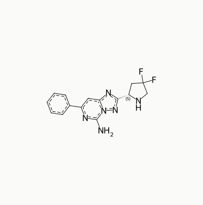 Nc1nc(-c2ccccc2)cc2nc([C@@H]3CC(F)(F)CN3)nn12